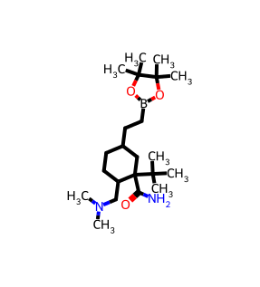 CN(C)CC1CCC(CCB2OC(C)(C)C(C)(C)O2)CC1(C(N)=O)C(C)(C)C